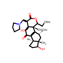 COCC1OC(=O)/C(=C/N2CCCC2)C2=C(O)C(=O)C3=C([C@H](OC(C)=O)C[C@]4(C)[C@@H](O)CC[C@@H]34)[C@]21C